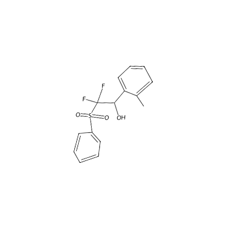 Cc1ccccc1C(O)C(F)(F)S(=O)(=O)c1ccccc1